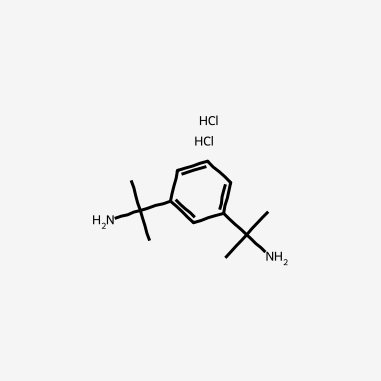 CC(C)(N)c1cccc(C(C)(C)N)c1.Cl.Cl